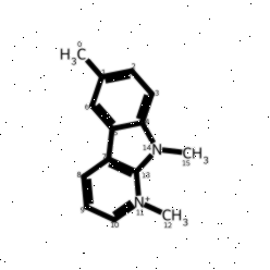 Cc1ccc2c(c1)c1ccc[n+](C)c1n2C